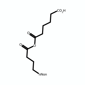 CCCCCCCCCCCCC(=O)OC(=O)CCCCC(=O)O